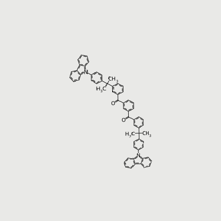 CC(C)(c1ccc(-n2c3ccccc3c3ccccc32)cc1)c1cccc(C(=O)c2cccc(C(=O)c3cccc(C(C)(C)c4ccc(-n5c6ccccc6c6ccccc65)cc4)c3)c2)c1